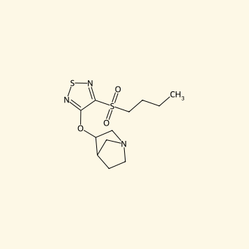 CCCCS(=O)(=O)c1nsnc1OC1CN2CCC1C2